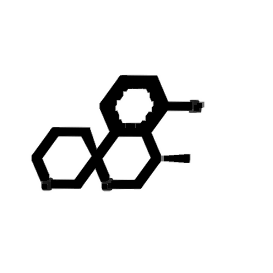 C[C@@H]1CO[C@@]2(CCCOC2)c2cccc(Br)c21